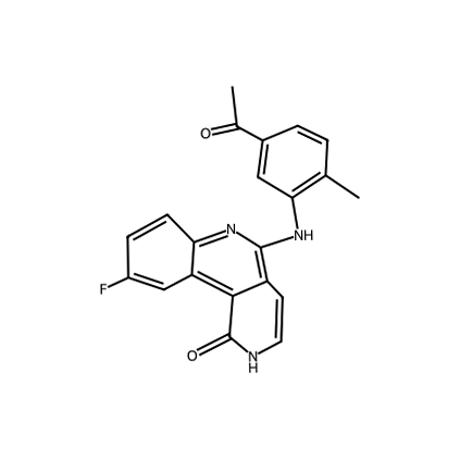 CC(=O)c1ccc(C)c(Nc2nc3ccc(F)cc3c3c(=O)[nH]ccc23)c1